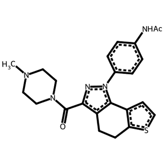 CC(=O)Nc1ccc(-n2nc(C(=O)N3CCN(C)CC3)c3c2-c2ccsc2CC3)cc1